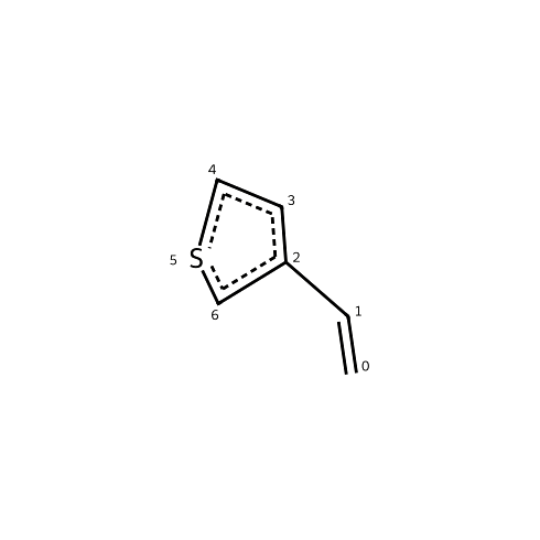 C=Cc1ccsc1